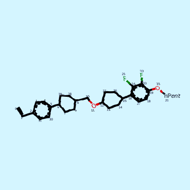 C=Cc1ccc(C2CCC(COC3CCC(c4ccc(OCCCCC)c(F)c4F)CC3)CC2)cc1